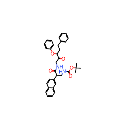 CC(C)(C)OC(=O)NCC(C(=O)NCC(=O)C(CCc1ccccc1)Oc1ccccc1)c1ccc2ccccc2c1